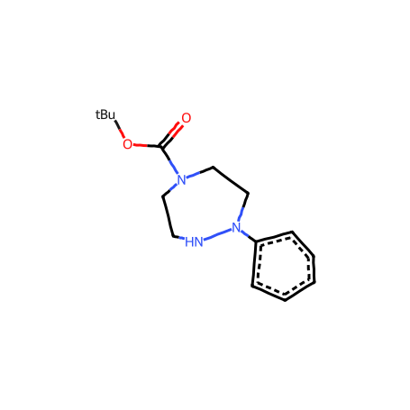 CC(C)(C)OC(=O)N1CCNN(c2ccccc2)CC1